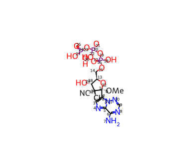 CO[C@@]1(c2cnc3c(N)ncnn23)O[C@H](COP(=O)(O)OP(=O)(O)OP(=O)(O)O)[C@@H](O)[C@@]1(C)C#N